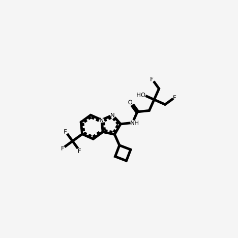 O=C(CC(O)(CF)CF)Nc1nn2ccc(C(F)(F)F)cc2c1C1CCC1